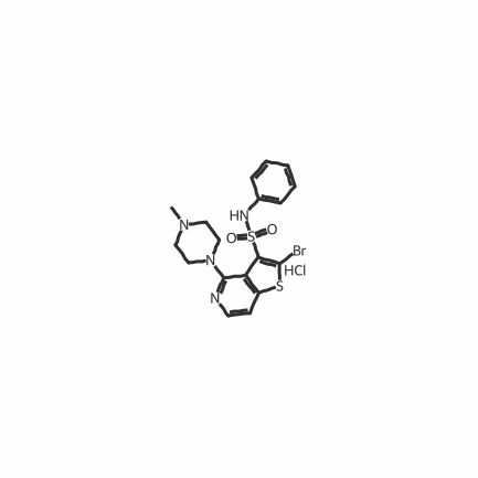 CN1CCN(c2nccc3sc(Br)c(S(=O)(=O)Nc4ccccc4)c23)CC1.Cl